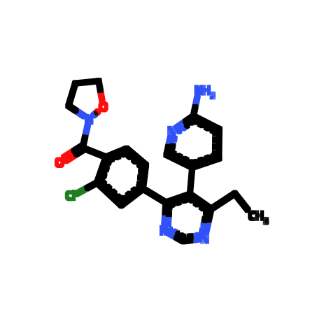 CCc1ncnc(-c2ccc(C(=O)N3CCCO3)c(Cl)c2)c1-c1ccc(N)nc1